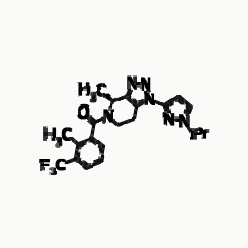 Cc1c(C(=O)N2CCc3c(nnn3-c3ccn(C(C)C)n3)[C@@H]2C)cccc1C(F)(F)F